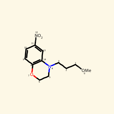 COCCCN1CCOc2ccc([N+](=O)[O-])cc21